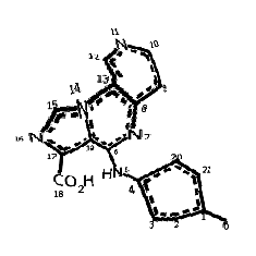 Cc1ccc(Nc2nc3ccncc3n3cnc(C(=O)O)c23)cc1